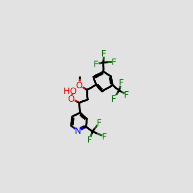 COC(CC(OO)c1ccnc(C(F)(F)F)c1)c1cc(C(F)(F)F)cc(C(F)(F)F)c1